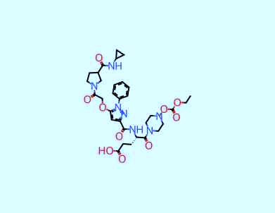 CCOC(=O)ON1CCN(C(=O)[C@H](CCC(=O)O)NC(=O)c2cc(OCC(=O)N3CCC(C(=O)NC4CC4)C3)n(-c3ccccc3)n2)CC1